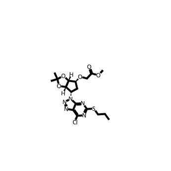 CCCSc1nc(Cl)c2nnn([C@H]3C[C@H](OCC(=O)OC)[C@H]4OC(C)(C)O[C@H]43)c2n1